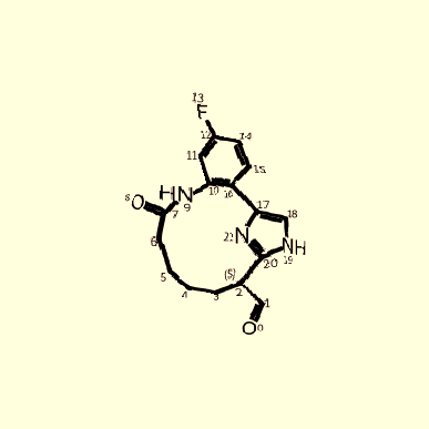 O=C[C@H]1CCCCC(=O)Nc2cc(F)ccc2-c2c[nH]c1n2